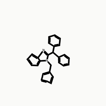 c1ccc(Cn2c(C(c3ccccc3)c3ccccc3)nc3ccccc32)cc1